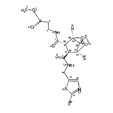 COC(=O)CCNC(=O)[C@H]1[C@H](C(=O)NCc2cnc(Br)s2)[C@@H]2C=C[C@H]1C21CC1